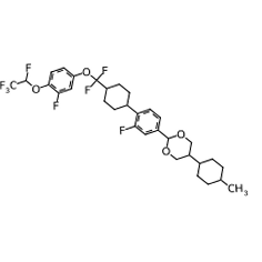 CC1CCC(C2COC(c3ccc(C4CCC(C(F)(F)Oc5ccc(OC(F)C(F)(F)F)c(F)c5)CC4)c(F)c3)OC2)CC1